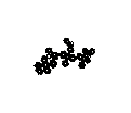 c1ccc(-c2c3ccc(-c4ccc5c(-c6cccc7c6oc6ccccc67)c6ccccc6c(-c6ccccc6)c5c4)cc3c(-c3ccc4oc5ccccc5c4c3)c3ccc(-c4cc(-c5cccc(-c6c7ccccc7c(-c7cccc8ccccc78)c7ccccc67)c5)c5oc6ccccc6c5c4)cc23)cc1